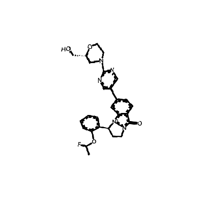 CC(F)Oc1ccccc1[C@@H]1CCn2c(=O)c3ccc(-c4cnc(N5CCO[C@@H](CO)C5)nc4)cc3n21